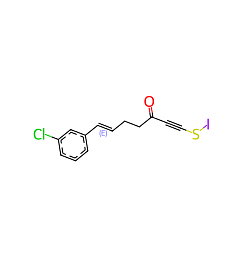 O=C(C#CSI)CC/C=C/c1cccc(Cl)c1